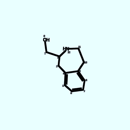 OCC1Cc2ccccc2CCN1